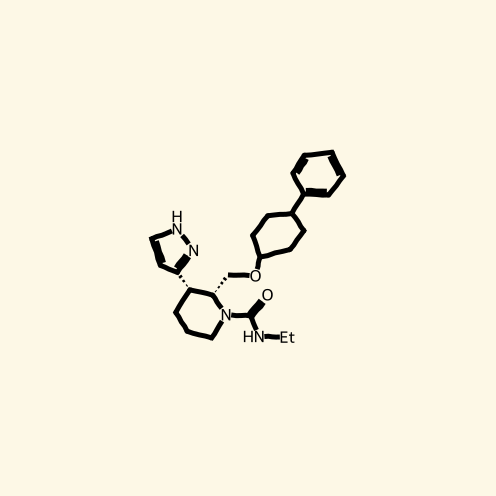 CCNC(=O)N1CCC[C@H](c2cc[nH]n2)[C@@H]1COC1CCC(c2ccccc2)CC1